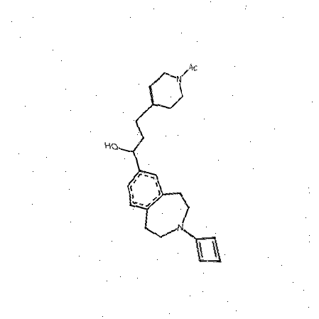 CC(=O)N1CCC(CCC(O)c2ccc3c(c2)CCN(C2=CC=C2)CC3)CC1